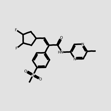 Cc1cnc(NC(=O)/C(=C/C2CC(F)C(F)C2)c2ccc(S(C)(=O)=O)cc2)cn1